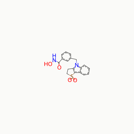 O=C(NO)c1cccc(Cn2c3c(c4ccccc42)S(=O)(=O)CC3)c1